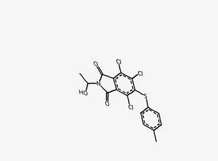 Cc1ccc(Sc2c(Cl)c(Cl)c3c(c2Cl)C(=O)N(C(C)O)C3=O)cc1